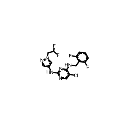 Fc1cccc(F)c1CNc1nc(Nc2cnn(CC(F)F)c2)ncc1Cl